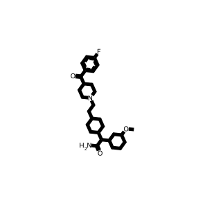 COC1CCCC(C(C(N)=O)C2CCC(CCN3CCC(C(=O)c4ccc(F)cc4)CC3)CC2)C1